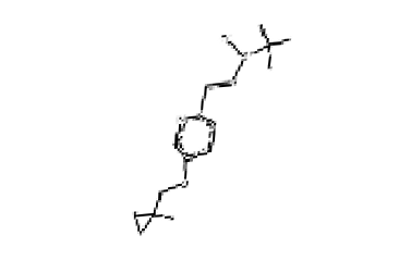 CC1(COc2ccc(C=N[S+]([O-])C(C)(C)C)nc2)CC1